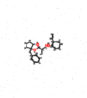 C=C(C)C(=O)OC1(Cc2ccccc2)CCCC1.C=Cc1ccccc1O